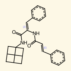 O=C(/C=C/c1ccccc1)N/C(=C\c1ccccc1)C(=O)NC12CC3CC4CC(C1)C432